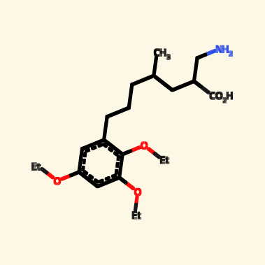 CCOc1cc(CCCC(C)CC(CN)C(=O)O)c(OCC)c(OCC)c1